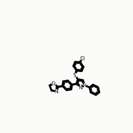 Clc1ccc(Sc2cn(-c3ccccc3)nc2-c2ccc(C3=NCCO3)cc2)cc1